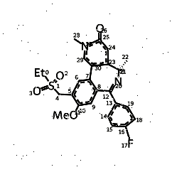 CCS(=O)(=O)Cc1cc2c(cc1OC)C(c1ccc(F)cc1)=N[C@@H](C)c1cc(=O)n(C)cc1-2